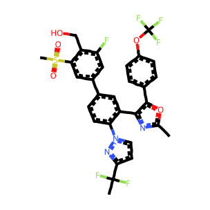 Cc1nc(-c2cc(-c3cc(F)c(CO)c(S(C)(=O)=O)c3)ccc2-n2ccc(C(C)(F)F)n2)c(-c2ccc(OC(F)(F)F)cc2)o1